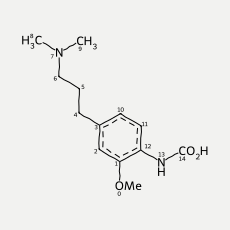 COc1cc(CCCN(C)C)ccc1NC(=O)O